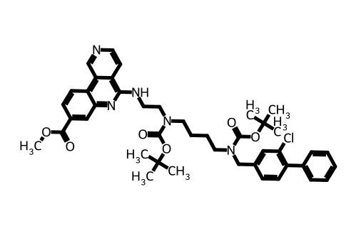 COC(=O)c1ccc2c(c1)nc(NCCN(CCCCN(Cc1ccc(-c3ccccc3)c(Cl)c1)C(=O)OC(C)(C)C)C(=O)OC(C)(C)C)c1ccncc12